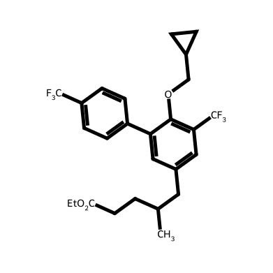 CCOC(=O)CCC(C)Cc1cc(-c2ccc(C(F)(F)F)cc2)c(OCC2CC2)c(C(F)(F)F)c1